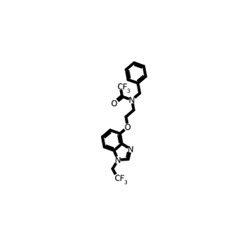 O=C(N(CCOc1cccc2c1ncn2CC(F)(F)F)Cc1ccccc1)C(F)(F)F